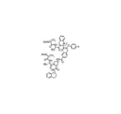 CN[C@@H](C)C(=O)NC(C(=O)N1Cc2ccccc2C[C@H]1C(=O)N(Cc1ccc(C(=O)N[C@H]2C[C@@H](C(=O)N[C@@H]3CCCc4ccccc43)N(C(=O)[C@@H](NC(=O)[C@H](C)NC)C(C)(C)C)C2)cc1)[C@H](C)c1ccc(F)cc1)C(C)(C)C